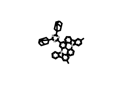 Cc1ccc2c(c1)c1ccccc1n2-c1ccccc1-c1ccc(-c2nc(C34CC5CC(CC(C5)C3)C4)nc(C34CC5CC(CC(C5)C3)C4)n2)cc1-n1c2ccccc2c2cc(C)ccc21